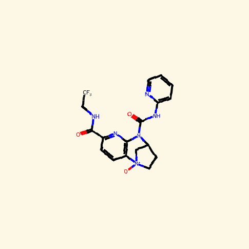 O=C(NCC(F)(F)F)c1ccc2c(n1)N(C(=O)Nc1ccccn1)C1CC[N+]2([O-])C1